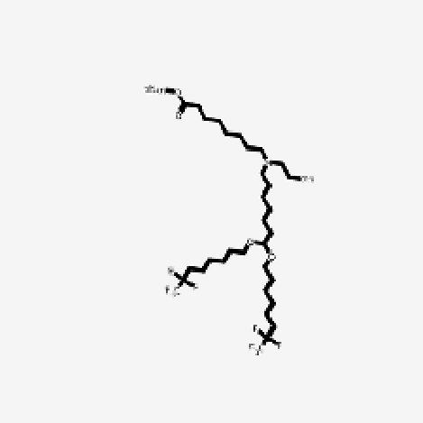 CCCCCCCCCOC(=O)CCCCCCCN(CCO)CCCCCCC(OCCCCCCC(F)(F)C(F)(F)F)OCCCCCCC(F)(F)C(F)(F)F